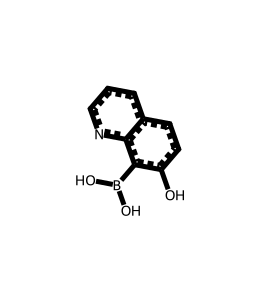 OB(O)c1c(O)ccc2cccnc12